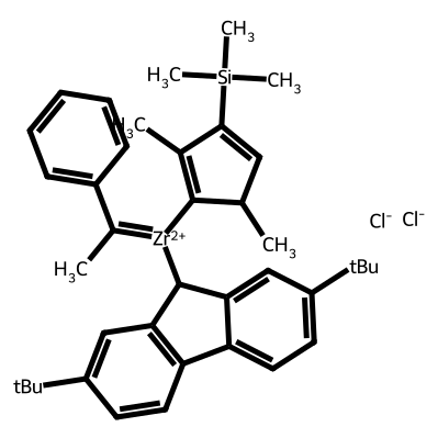 CC1=[C](/[Zr+2](=[C](/C)c2ccccc2)[CH]2c3cc(C(C)(C)C)ccc3-c3ccc(C(C)(C)C)cc32)C(C)C=C1[Si](C)(C)C.[Cl-].[Cl-]